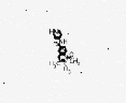 CC(=O)N1c2ccc(C(=O)NC3CCNCC3)cc2C[C@@H](C)[C@@H]1C